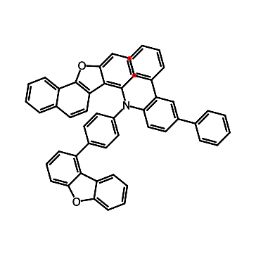 c1ccc(-c2ccc(N(c3ccc(-c4cccc5oc6ccccc6c45)cc3)c3cccc4oc5c6ccccc6ccc5c34)c(-c3ccccc3)c2)cc1